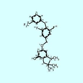 CN1c2cc(OCc3cc(F)c(Cc4cncc(C(F)(F)F)c4)c(F)c3)nc(=O)n2CC1(C)C